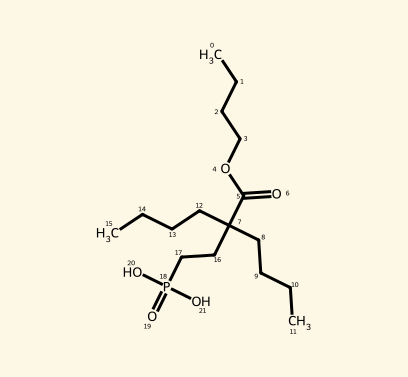 CCCCOC(=O)C(CCCC)(CCCC)CCP(=O)(O)O